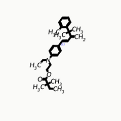 C=C(/C=C/c1ccc(N(CC)CCOC(=O)C(C)(C)CC)cc1)C(C)(C)c1ccccc1C